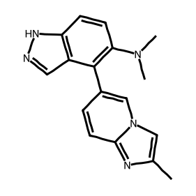 Cc1cn2cc(-c3c(N(C)C)ccc4[nH]ncc34)ccc2n1